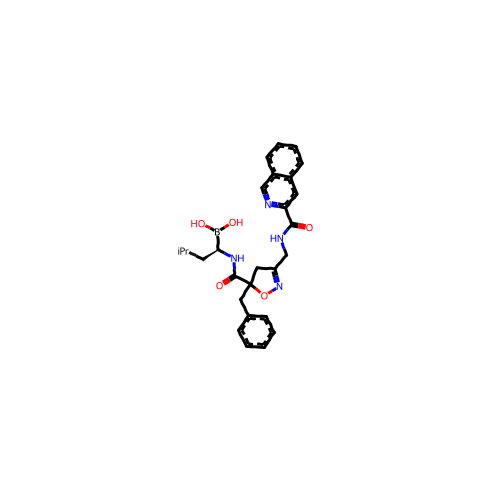 CC(C)C[C@H](NC(=O)C1(Cc2ccccc2)CC(CNC(=O)c2cc3ccccc3cn2)=NO1)B(O)O